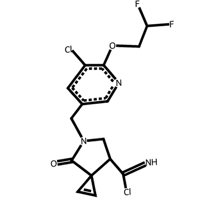 N=C(Cl)C1CN(Cc2cnc(OCC(F)F)c(Cl)c2)C(=O)C12C=C2